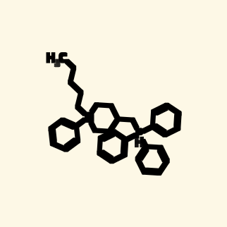 CCCCC[Si]1(c2ccccc2)CCC(C[PH](c2ccccc2)(c2ccccc2)c2ccccc2)CC1